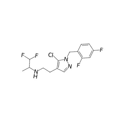 CC(NCCc1cnn(Cc2ccc(F)cc2F)c1Cl)C(F)F